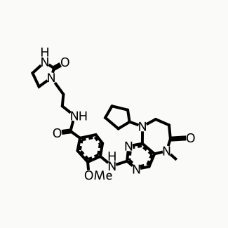 COc1cc(C(=O)NCCN2CCNC2=O)ccc1Nc1ncc2c(n1)N(C1CCCC1)CCC(=O)N2C